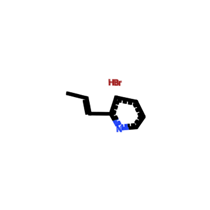 Br.CC=Cc1ccccn1